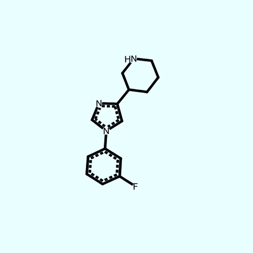 Fc1cccc(-n2cnc(C3CCCNC3)c2)c1